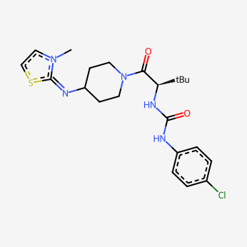 Cn1ccsc1=NC1CCN(C(=O)[C@H](NC(=O)Nc2ccc(Cl)cc2)C(C)(C)C)CC1